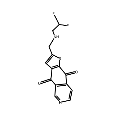 O=C1c2cnccc2C(=O)c2sc(CNCC(F)F)cc21